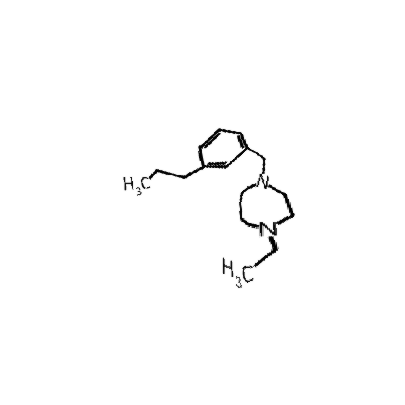 CCCc1cccc(CN2CCN(CC)CC2)c1